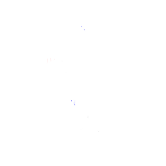 OC(c1cccnc1)C1CCN(CC23CC(c4ccccc42)c2ccccc23)CC1